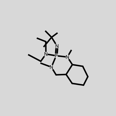 CCN(CC)P1(=NC(C)(C)C)N(C)CC2CCCCC2N1C